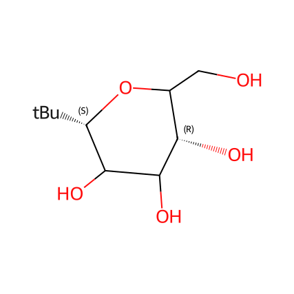 CC(C)(C)[C@@H]1OC(CO)[C@H](O)C(O)C1O